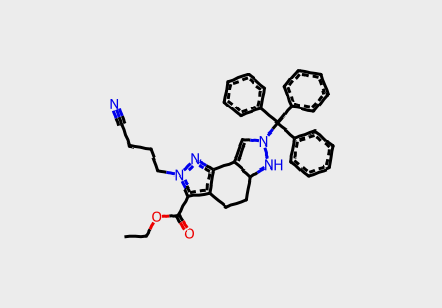 CCOC(=O)c1c2c(nn1CCCC#N)C1=CN(C(c3ccccc3)(c3ccccc3)c3ccccc3)NC1CC2